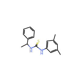 Cc1cc(C)cc(NC(=S)NC(C)c2ccccc2)c1